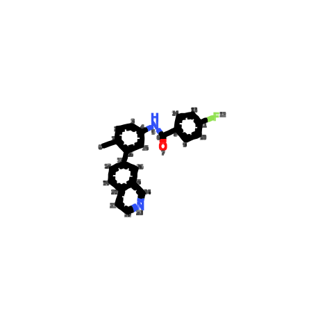 Cc1ccc(NC(=O)c2ccc(F)cc2)cc1-c1ccc2ccncc2c1